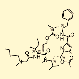 C=CCOC(=O)[C@@H](C)C[C@H](Cc1ccccc1)NC(=O)c1csc([C@@H](C[C@H](C(C)C)N(C)C(=O)[C@@H](NC(=O)CN(C)CCCC)[C@@H](C)CC)OC(C)=O)n1